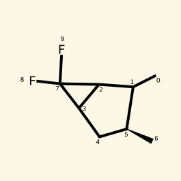 CC1C2C(C[C@@H]1C)C2(F)F